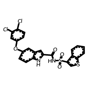 O=C(NS(=O)(=O)c1csc2ccccc12)c1cc2cc(Oc3ccc(Cl)c(Cl)c3)ccc2[nH]1